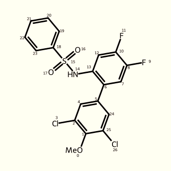 COc1c(Cl)cc(-c2cc(F)c(F)cc2NS(=O)(=O)c2ccccc2)cc1Cl